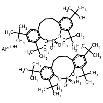 CC(C)(C)c1cc2c(c(C(C)(C)C)c1)OP(=O)([O-])Oc1c(cc(C(C)(C)C)cc1C(C)(C)C)CCC2.CC(C)(C)c1cc2c(c(C(C)(C)C)c1)OP(=O)([O-])Oc1c(cc(C(C)(C)C)cc1C(C)(C)C)CCC2.[OH][Al+2]